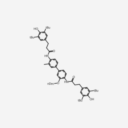 CCCCCCCCCCOc1cc(-c2ccc(NC(=O)CCc3cc(C(C)(C)C)c(O)c(C(C)(C)C)c3)c(C)c2)ccc1NC(=O)CCc1cc(C(C)(C)C)c(O)c(C(C)(C)C)c1